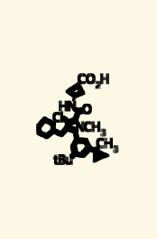 Cn1c(C(=O)N[C@H]2C[C@H](C(=O)O)C2)c(Cl)c(CC2CCCCC2)c1-c1cc(C(C)(C)C)cc(C2(C)CC2)c1